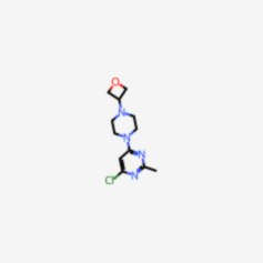 Cc1nc(Cl)cc(N2CCN(C3COC3)CC2)n1